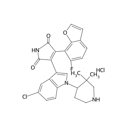 CC1(C)CNCCC1n1cc(C2=C(c3c(F)ccc4ccoc34)C(=O)NC2=O)c2cc(Cl)ccc21.Cl